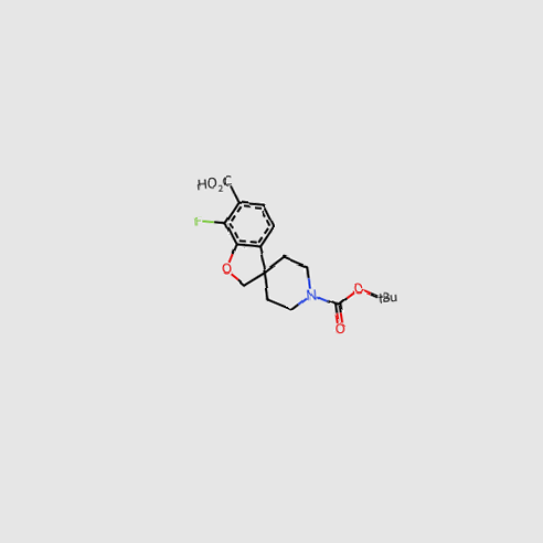 CC(C)(C)OC(=O)N1CCC2(CC1)COc1c2ccc(C(=O)O)c1F